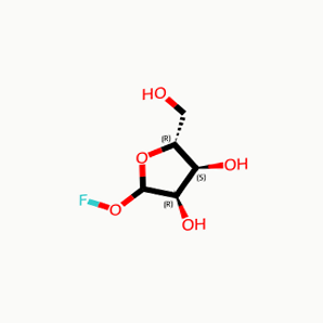 OC[C@H]1OC(OF)[C@H](O)[C@@H]1O